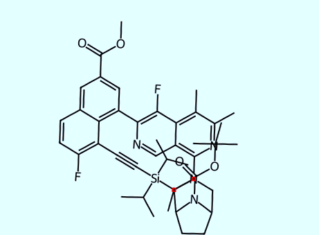 COC(=O)c1cc(-c2ncc3c(N4CC5CCC(C4)N5C(=O)OC(C)(C)C)nc(C)c(C)c3c2F)c2c(C#C[Si](C(C)C)(C(C)C)C(C)C)c(F)ccc2c1